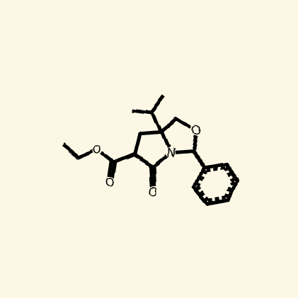 CCOC(=O)C1CC2(C(C)C)COC(c3ccccc3)N2C1=O